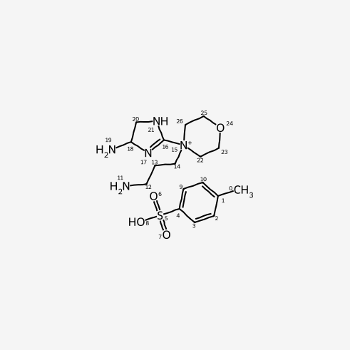 Cc1ccc(S(=O)(=O)O)cc1.NCCC[N+]1(C2=NC(N)CN2)CCOCC1